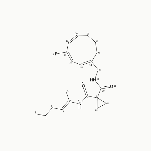 CCC/C=C(\C)NC(=O)C1(C(=O)NC/C2=C/C=C(F)\C=C/CCC2)CC1